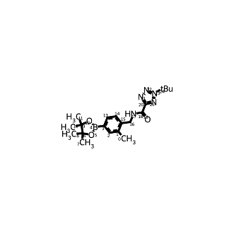 Cc1cc(B2OC(C)(C)C(C)(C)O2)ccc1CNC(=O)c1nnn(C(C)(C)C)n1